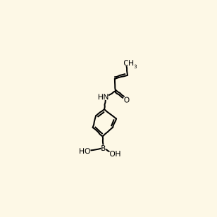 CC=CC(=O)Nc1ccc(B(O)O)cc1